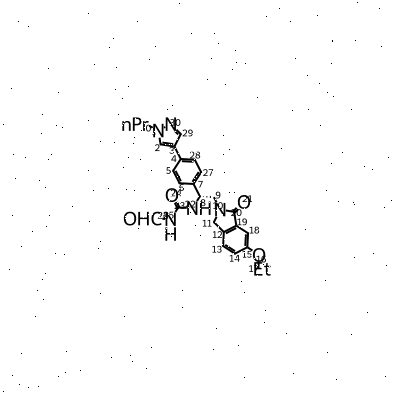 CCCn1cc(-c2ccc([C@H](CN3Cc4ccc(OCC)cc4C3=O)NC(=O)NC=O)cc2)cn1